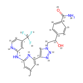 Cc1cc(Nc2cc(C(F)(F)F)ccn2)nc(-c2cn(CC(O)c3ccc(C(N)=O)cc3)nn2)c1